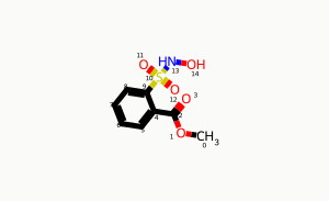 COC(=O)c1ccccc1S(=O)(=O)NO